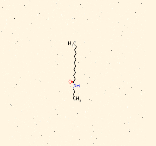 CCCCCCCCCCCCC(=O)NCCCC